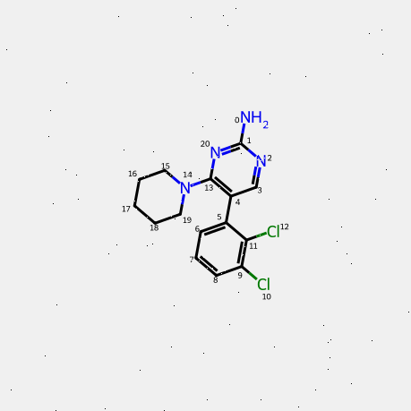 Nc1ncc(-c2cccc(Cl)c2Cl)c(N2CCCCC2)n1